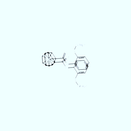 CCCCCCCOc1ccccc1OC(=O)[C]12[CH]3[CH]4[CH]5[CH]1[Fe]45321678[CH]2[CH]1[CH]6[C]7(C(=O)Oc1ccccc1OCCCCCCC)[CH]28